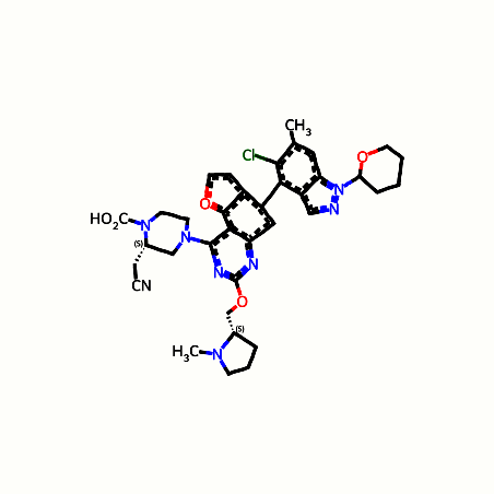 Cc1cc2c(cnn2C2CCCCO2)c(-c2cc3nc(OC[C@@H]4CCCN4C)nc(N4CCN(C(=O)O)[C@@H](CC#N)C4)c3c3occc23)c1Cl